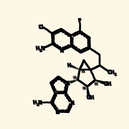 CC(Cc1cc(F)c2cc(Cl)c(N)nc2c1)C12C[C@@H]1[C@@H](n1ccc3c(N)ncnc31)[C@H](O)[C@@H]2O